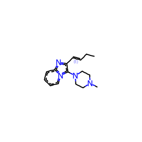 CC/C=C/c1nc2ccccn2c1N1CCN(C)CC1